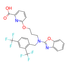 O=C(O)c1cccc(OCCCN(Cc2ccc(C(F)(F)F)cc2C(F)(F)F)c2nc3ccccc3o2)n1